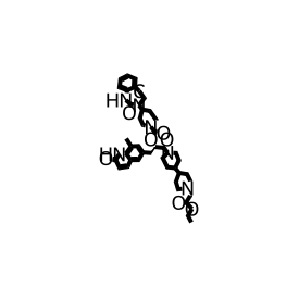 CCOC(=O)CN1CCC(C2CCN(C(=O)[C@@H](Cc3cc(C)c4[nH]c(=O)ccc4c3)OC(=O)N3CCC(N4CCc5ccccc5NC4=O)CC3)CC2)CC1